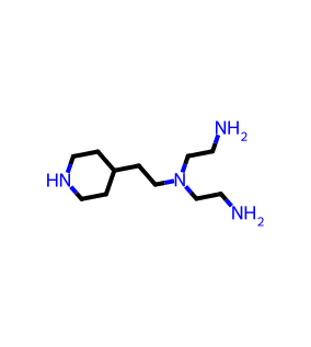 NCCN(CCN)CCC1CCNCC1